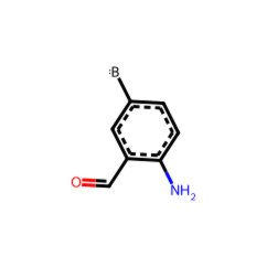 [B]c1ccc(N)c(C=O)c1